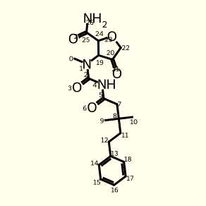 CN(C(=O)NC(=O)CC(C)(C)CCc1ccccc1)C1C(=O)COC1C(N)=O